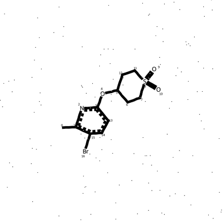 Cc1nc(OC2CCS(=O)(=O)CC2)ccc1Br